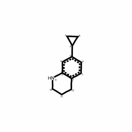 c1cc2c(cc1C1CC1)NCCC2